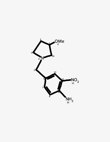 COC1CCN(Cc2ccc(N)c([N+](=O)[O-])c2)C1